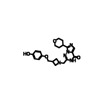 O=c1[nH]c(CN2CC(COc3ccc(O)cc3)C2)nn2c(C3CCOCC3)ncc12